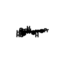 CCCOCCCNCc1cccc(CCNCC(O)c2ccc(O)c3[nH]c(=O)sc23)c1